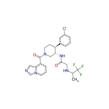 CC(NCC(=O)N[C@@H]1CN(C(=O)c2cccn3cncc23)CC[C@H]1c1cccc(Cl)c1)C(F)(F)F